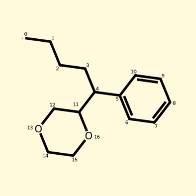 [CH2]CCCC(c1ccccc1)C1COCCO1